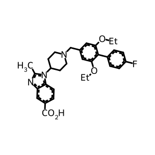 CCOc1cc(CN2CCC(n3c(C)nc4cc(C(=O)O)ccc43)CC2)cc(OCC)c1-c1ccc(F)cc1